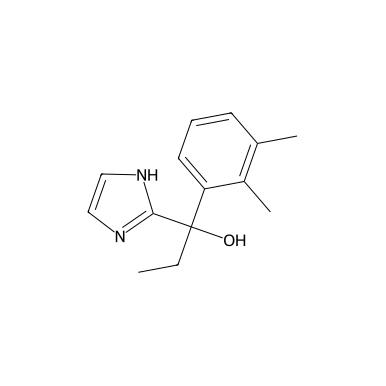 CCC(O)(c1ncc[nH]1)c1cccc(C)c1C